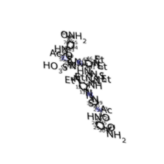 CCSc1nc(Nc2cc(N(CC)CC)ccc2/N=N/c2ncc(/C=C(\C(C)=O)C(=O)Nc3cccc(C(N)=O)c3)s2)nc(Nc2cc(N(CC)CC)ccc2/N=N/c2nc(S(=O)(=O)O)c(/C=C(/C(C)=O)C(=O)Nc3cccc(C(N)=O)c3)s2)n1